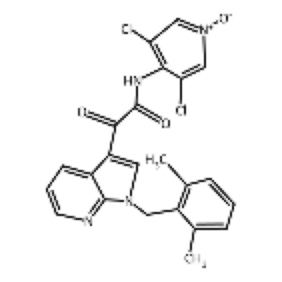 Cc1cccc(C)c1Cn1cc(C(=O)C(=O)Nc2c(Cl)c[n+]([O-])cc2Cl)c2cccnc21